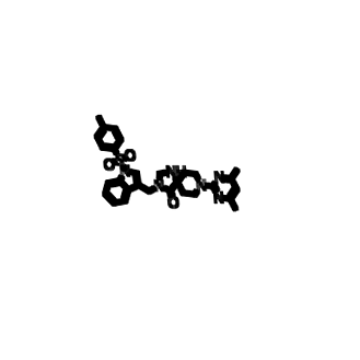 Cc1ccc(S(=O)(=O)n2cc(CN3CNC4(CCN(c5nc(C)cc(C)n5)CC4)C3=O)c3ccccc32)cc1